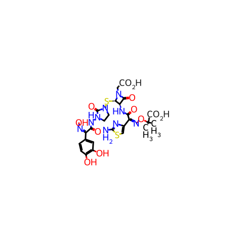 CC(C)(O/N=C(\C(=O)N[C@@H]1C(=O)N(CC(=O)O)[C@@H]1SN1CCN(NC(=O)/C(=N\O)c2ccc(O)c(O)c2)C1=O)c1csc(N)n1)C(=O)O